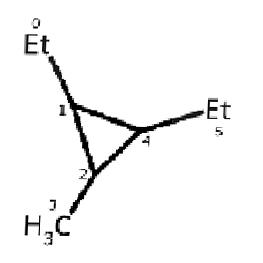 CCC1C(C)C1CC